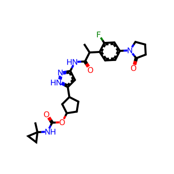 CC(C(=O)Nc1cc(C2CCC(OC(=O)NC3(C)CC3)C2)[nH]n1)c1ccc(N2CCCC2=O)cc1F